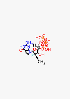 CC#CC1(F)[C@@H](O)[C@@H]([C@H](C)OP(=O)(O)OP(=O)(O)OP(=O)(O)O)O[C@H]1n1ccc2c(=O)[nH]c(N)nc21